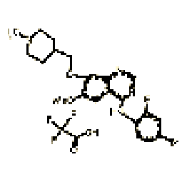 COc1cc2c(Nc3ccc(Br)cc3F)ncnc2cc1OCC1CCN(C)CC1.O=C(O)C(F)(F)F